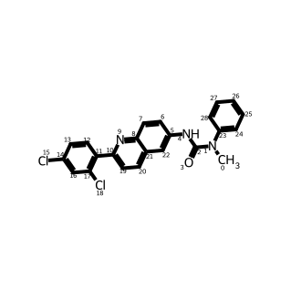 CN(C(=O)Nc1ccc2nc(-c3ccc(Cl)cc3Cl)ccc2c1)c1ccccc1